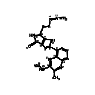 Cc1nc2cccc(-c3cc4c([nH]3)C(CCN=[N+]=[N-])NC4=O)c2nc1NC(C)(C)C